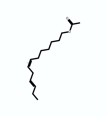 CCC=CC/C=C\CCCCCCOC(C)=O